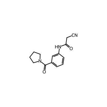 N#CCC(=O)Nc1cccc(C(=O)N2CCCC2)c1